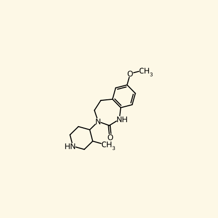 COc1ccc2c(c1)CCN(C1CCNCC1C)C(=O)N2